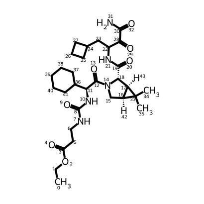 CCOC(=O)CCNC(=O)N[C@H](C(=O)N1C[C@H]2[C@@H]([C@H]1C(=O)NC(CC1CCC1)C(=O)C(N)=O)C2(C)C)C1CCCCC1